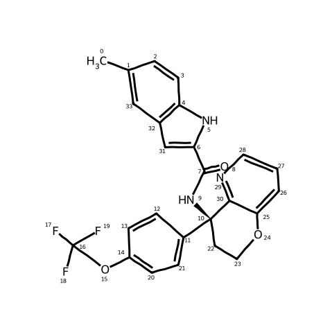 Cc1ccc2[nH]c(C(=O)N[C@]3(c4ccc(OC(F)(F)F)cc4)CCOc4cccnc43)cc2c1